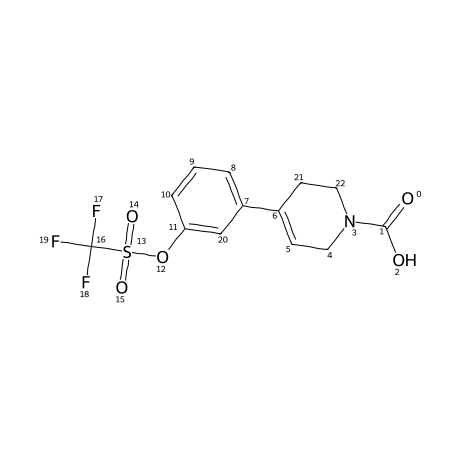 O=C(O)N1CC=C(c2cccc(OS(=O)(=O)C(F)(F)F)c2)CC1